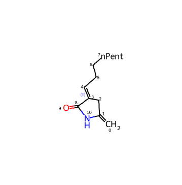 C=C1C/C(=C\CCCCCCC)C(=O)N1